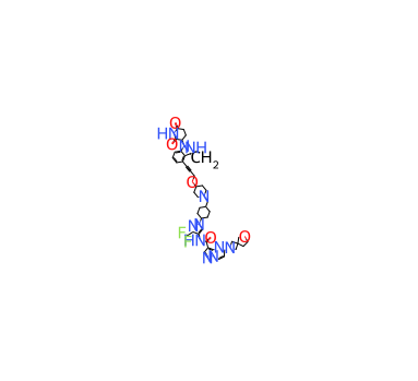 C=C1NN(C2CCC(=O)NC2=O)c2cccc(C#CCOC3CCN(CC4CCC(n5cc(NC(=O)c6cnn7ccc(N8CC9(CCOC9)C8)nc67)c(C(F)F)n5)CC4)CC3)c21